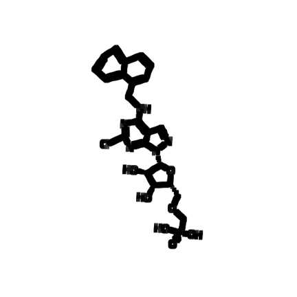 O=P(O)(O)COC[C@H]1O[C@@H](n2ncc3c(NCc4cccc5ccccc45)nc(Cl)nc32)[C@H](O)[C@@H]1O